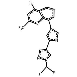 FC(F)n1cc(-c2cn(-c3cccc4c(Cl)cc(C(F)(F)F)nc34)cn2)cn1